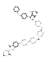 Nc1ncnc2c1c(-c1ccc(Oc3ccccc3)cc1)nn2C1CCN(CC2CCN(C(=O)N3CCC(N4CCN(c5ccc6c(c5)CN(C5CCC(=O)NC5=O)C6=O)CC4)CC3)CC2)CC1